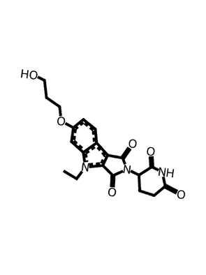 CCn1c2c(c3ccc(OCCCO)cc31)C(=O)N(C1CCC(=O)NC1=O)C2=O